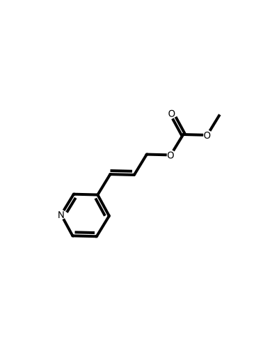 COC(=O)OCC=Cc1cccnc1